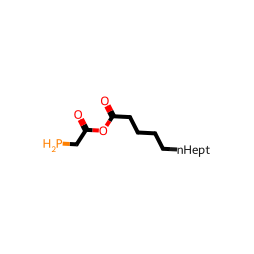 CCCCCCCCCCCC(=O)OC(=O)CP